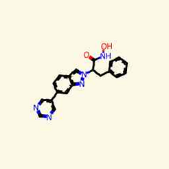 O=C(NO)C(Cc1ccccc1)n1cc2ccc(-c3cncnc3)cc2n1